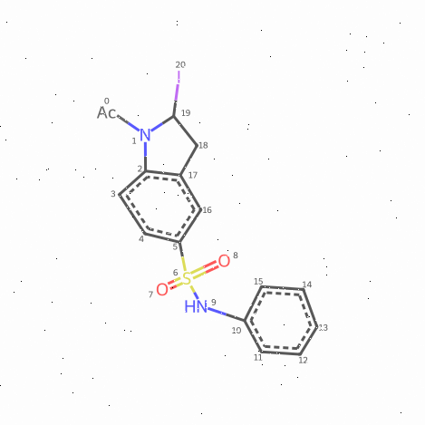 CC(=O)N1c2ccc(S(=O)(=O)Nc3ccccc3)cc2CC1I